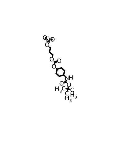 CC(C)(C)OC(=O)NC1CCC(OC(=O)OCCCO[N+](=O)[O-])CC1